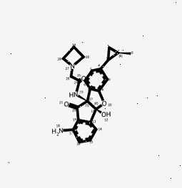 C[C@@H]1CC1c1ccc2c(c1)O[C@]1(O)c3cccc(N)c3C(=O)[C@]21NC(=O)CN1CCC1